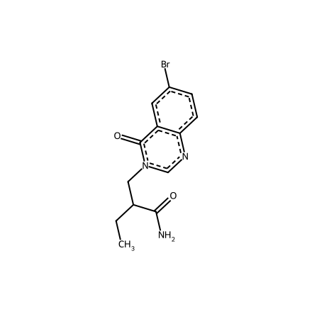 CCC(Cn1cnc2ccc(Br)cc2c1=O)C(N)=O